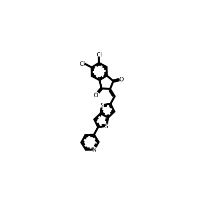 O=C1C(=Cc2cc3sc(-c4cccnc4)cc3s2)C(=O)c2cc(Cl)c(Cl)cc21